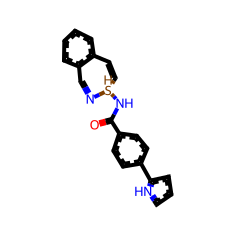 O=C(N[SH]1C=Cc2ccccc2C=N1)c1ccc(-c2ccc[nH]2)cc1